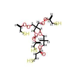 C=C(CS)OOCC(COCC(C)(C)COC(=O)CCS)(COOC(=C)CS)COOC(=C)CS